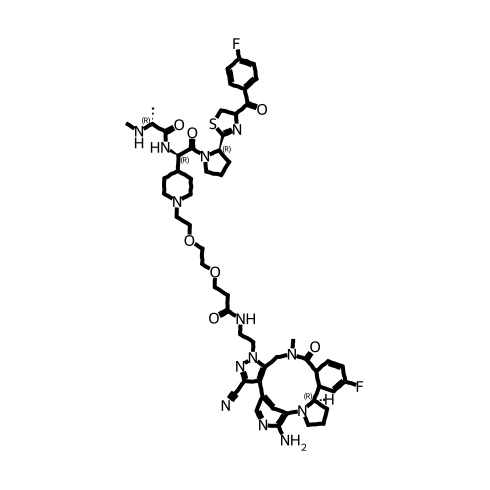 CN[C@H](C)C(=O)N[C@@H](C(=O)N1CCC[C@@H]1C1=NC(C(=O)c2ccc(F)cc2)CS1)C1CCN(CCOCCOCCC(=O)NCCn2nc(C#N)c3c2CN(C)C(=O)C2C=CC(F)=CC2[C@H]2CCCN2c2cc-3cnc2N)CC1